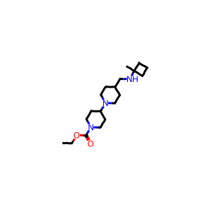 CCOC(=O)N1CCC(N2CCC(CNC3(C)CCC3)CC2)CC1